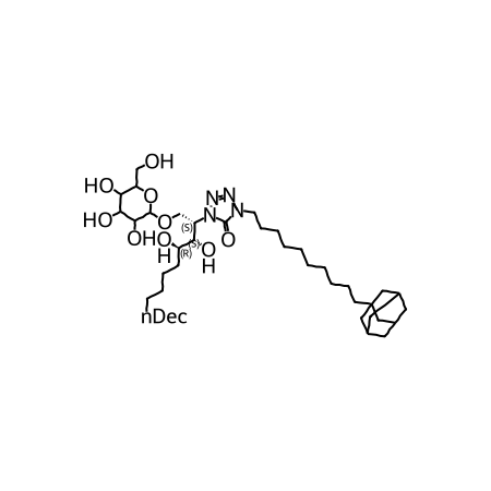 CCCCCCCCCCCCCC[C@@H](O)[C@@H](O)[C@H](COC1OC(CO)C(O)C(O)C1O)n1nnn(CCCCCCCCCCC23CC4CC(CC(C4)C2)C3)c1=O